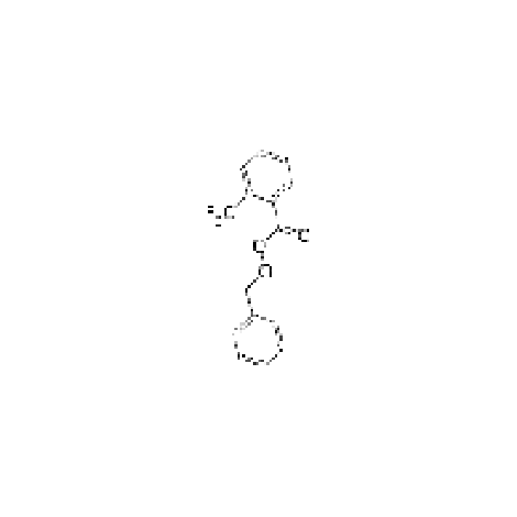 O=C(OOCc1ccccc1)c1ccccc1C(F)(F)F